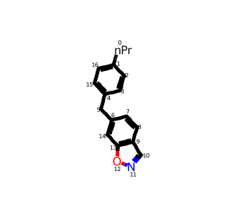 CCCc1ccc(Cc2ccc3cnoc3c2)cc1